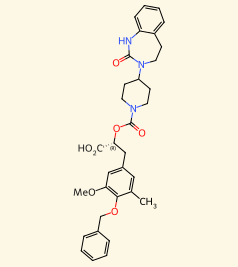 COc1cc(C[C@@H](OC(=O)N2CCC(N3CCc4ccccc4NC3=O)CC2)C(=O)O)cc(C)c1OCc1ccccc1